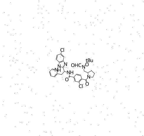 CC(C)(C)ON(C=O)CC1CCCN1C(=O)c1ccc(C(=O)NC(Cc2ccccn2)c2nc3cc(Cl)ccc3[nH]2)cc1Cl